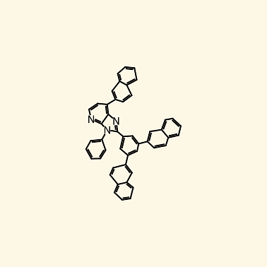 c1ccc(-n2c(-c3cc(-c4ccc5ccccc5c4)cc(-c4ccc5ccccc5c4)c3)nc3c(-c4ccc5ccccc5c4)ccnc32)cc1